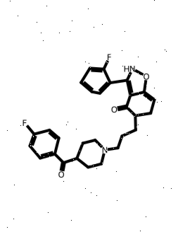 O=C1C2=C(c3ccccc3F)NOC2=CCC1CCCN1CCC(C(=O)c2ccc(F)cc2)CC1